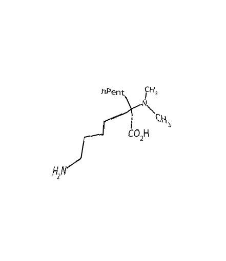 CCCCCC(CCCCN)(C(=O)O)N(C)C